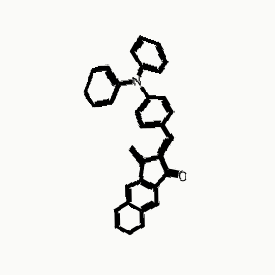 C=C1/C(=C\c2ccc(N(C3=CCCC=C3)c3ccccc3)cc2)C(=O)c2cc3c(cc21)C=CCC3